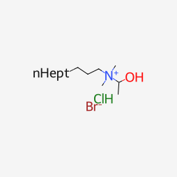 CCCCCCCCCC[N+](C)(C)C(C)O.Cl.[Br-]